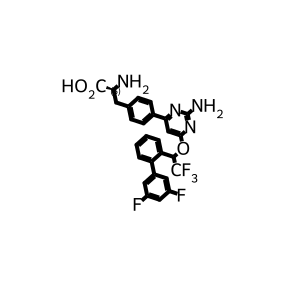 Nc1nc(OC(c2ccccc2-c2cc(F)cc(F)c2)C(F)(F)F)cc(-c2ccc(C[C@H](N)C(=O)O)cc2)n1